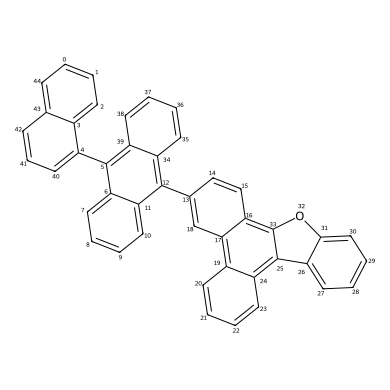 c1ccc2c(-c3c4ccccc4c(-c4ccc5c(c4)c4ccccc4c4c6ccccc6oc54)c4ccccc34)cccc2c1